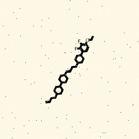 C=CCCC1CCC(C2CCC(/C=C/CCC3CCC(c4ccc(OCC)c(F)c4F)CC3)CC2)CC1